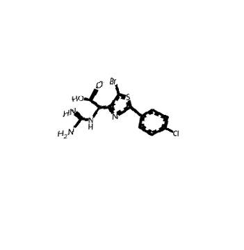 N=C(N)NC(C(=O)O)c1nc(-c2ccc(Cl)cc2)sc1Br